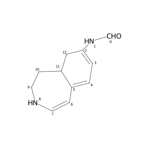 O=CNC1=CC=C2C=CNCCC2C1